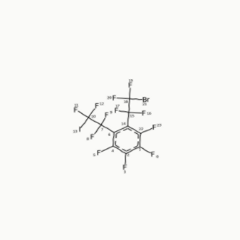 Fc1c(F)c(F)c(C(F)(F)C(F)(F)I)c(C(F)(F)C(F)(F)Br)c1F